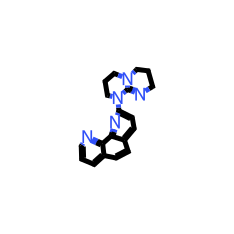 c1cnc2c(c1)ccc1ccc(N3CCCN4CCCN=C43)nc12